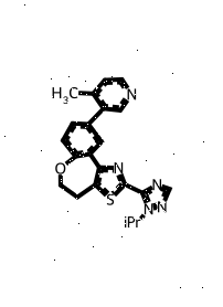 Cc1ccncc1-c1ccc2c(c1)-c1nc(-c3ncnn3C(C)C)sc1CCO2